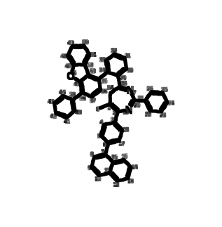 CC1=C(c2ccc(-c3cccc4ccccc34)cc2)N=C(c2ccccc2)N=C(c2ccccc2-c2ccc(-c3ccccc3)c3oc4ccccc4c23)C1